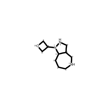 C1CNCC2CNN(C3COC3)C2C1